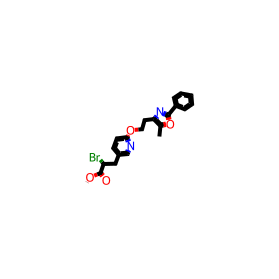 COC(=O)C(Br)Cc1ccc(OCCc2nc(-c3ccccc3)oc2C)nc1